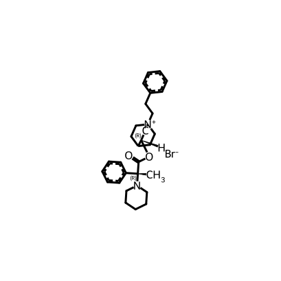 C[C@](C(=O)O[C@H]1C[N+]2(CCc3ccccc3)CCC1CC2)(c1ccccc1)N1CCCCC1.[Br-]